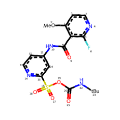 COc1ccnc(F)c1C(=O)Nc1ccnc(S(=O)(=O)OC(=O)NC(C)(C)C)c1